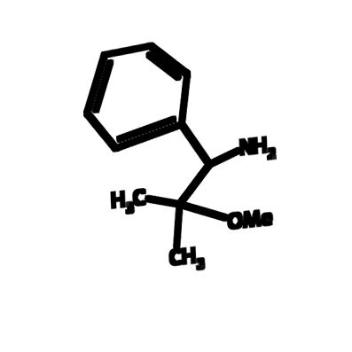 COC(C)(C)C(N)c1ccccc1